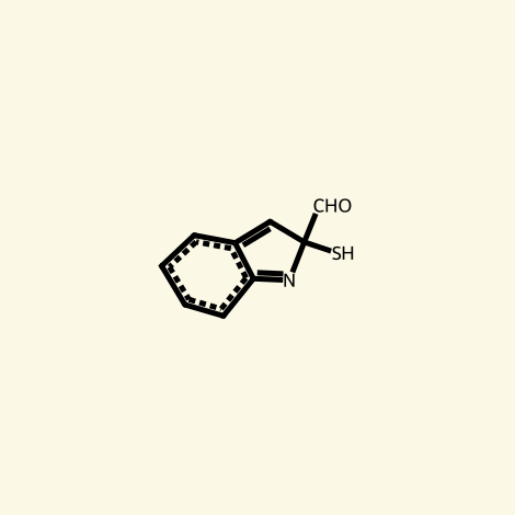 O=CC1(S)C=c2ccccc2=N1